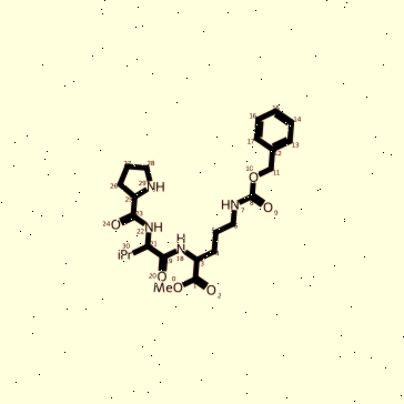 COC(=O)C(CCCNC(=O)OCc1ccccc1)NC(=O)C(NC(=O)C1CCCN1)C(C)C